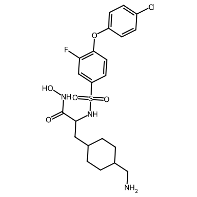 NCC1CCC(CC(NS(=O)(=O)c2ccc(Oc3ccc(Cl)cc3)c(F)c2)C(=O)NO)CC1